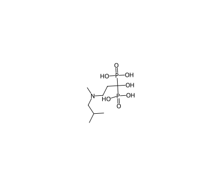 CC(C)CN(C)CCC(O)(P(=O)(O)O)P(=O)(O)O